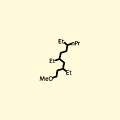 CCCC(CC)CCC(CC)CC(CC)CCOC